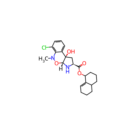 CN1O[C@H]2N[C@H](C(=O)OC3CCCC4CCCC=C43)C[C@@]2(O)c2cccc(Cl)c21